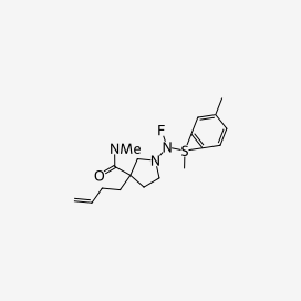 C=CCCC1(C(=O)NC)CCN(N(F)S2(C)c3ccc(C)cc32)C1